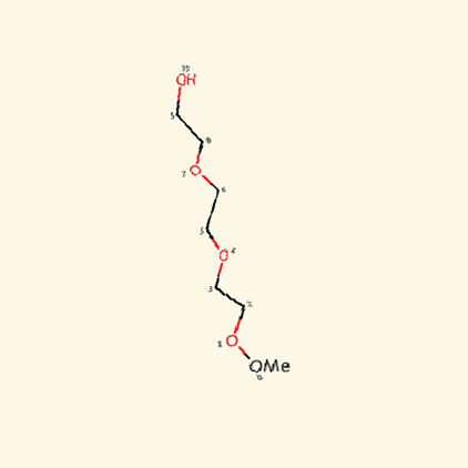 COOCCOCCOCCO